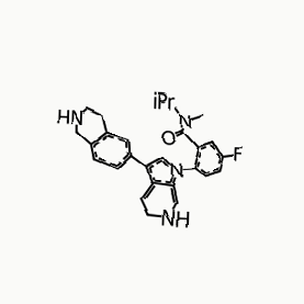 CC(C)N(C)C(=O)c1cc(F)ccc1-n1cc(-c2ccc3c(c2)CCNC3)c2c1=CNCC=2